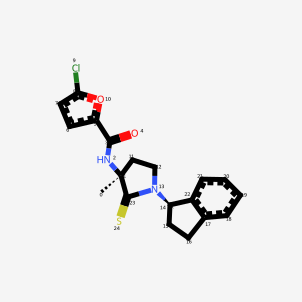 C[C@]1(NC(=O)c2ccc(Cl)o2)CCN([C@@H]2CCc3ccccc32)C1=S